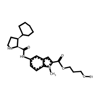 CCOCCCOC(=O)c1cc2cc(NC(=O)[C@H]3NCC[C@H]3C3CCCCC3)ccc2n1C